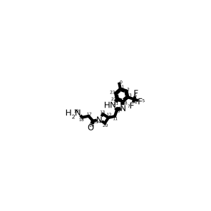 Cc1cc(C(F)(F)F)c2nc(CC3CN(C(=O)CCN)C3)[nH]c2c1